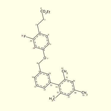 CCOC(=O)CCc1ccc(OCc2cccc(-c3c(C)cc(C)cc3C)c2)cc1F